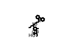 CCCC(=NOCCn1c2ccccc2c2ccccc21)c1ccc(OC(CC)C(=O)O)c(C)c1